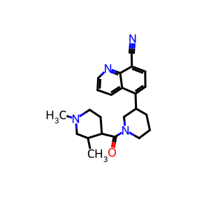 CC1CN(C)CCC1C(=O)N1CCCC(c2ccc(C#N)c3ncccc23)C1